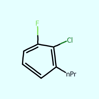 [CH2]CCc1cccc(F)c1Cl